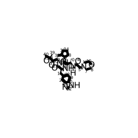 C[C@H](NC(=O)CN1CCOCC1)C(=O)N[C@@H](Cc1ccc2[nH]cnc2c1)C(=O)N[C@@H](CC1CCCC1)C(=O)[C@@]1(C)CO1